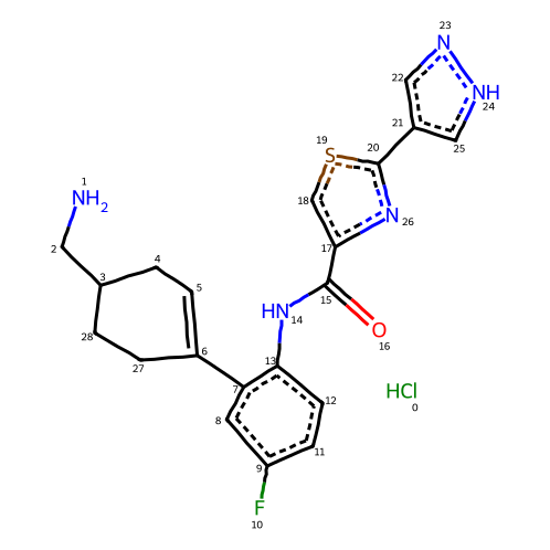 Cl.NCC1CC=C(c2cc(F)ccc2NC(=O)c2csc(-c3cn[nH]c3)n2)CC1